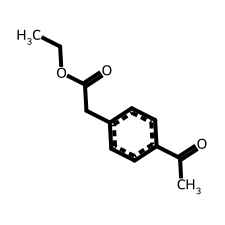 CCOC(=O)Cc1ccc(C(C)=O)cc1